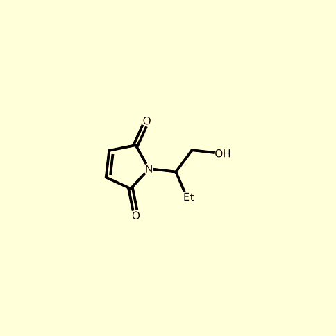 CCC(CO)N1C(=O)C=CC1=O